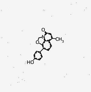 Cc1cc(=O)n2c3c(c(-c4ccc(O)cc4)ccc13)OC2